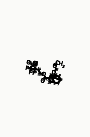 COCOC12CC3CC(C1)CC(C(=O)OCCC(F)(F)C(F)(F)[SH](=O)=O)(C3)C2